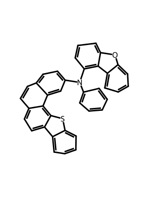 c1ccc(N(c2ccc3ccc4ccc5c6ccccc6sc5c4c3c2)c2cccc3oc4ccccc4c23)cc1